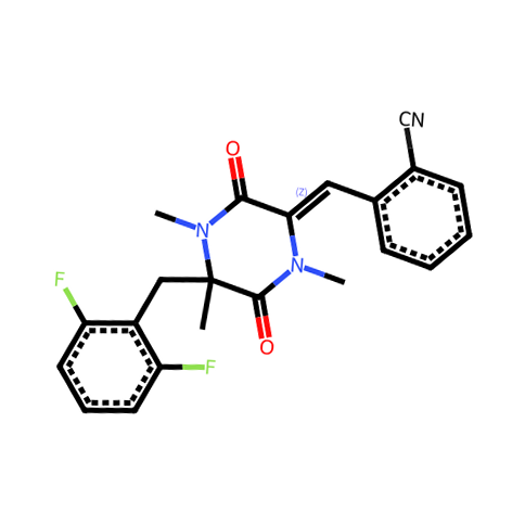 CN1C(=O)C(C)(Cc2c(F)cccc2F)N(C)C(=O)/C1=C/c1ccccc1C#N